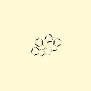 C1=C2CC3=Cc4ccccc4[CH]3[Zr]([c]3ccccc3)([c]3ccccc3)[CH]2c2ccccc21